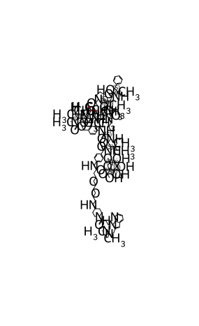 CC[C@H](C)[C@@H]([C@@H](CC(=O)N1CCC[C@H]1[C@H](OC)[C@@H](C)C(=O)N[C@H](C)[C@@H](O)c1ccccc1)OC)N(C)C(=O)[C@@H](NC(=O)[C@H](C(C)C)N(C)C(=O)OCc1ccc(NC(=O)[C@H](CCCNC(N)=O)NC(=O)[C@@H](NC(=O)c2ccc(NC(=O)CCOCCOCCNC3CCN(C(=O)CCn4c(CN(C)NC)cc5cccnc54)CC3)cc2O[C@@H]2O[C@H](C(=O)O)[C@@H](O)[C@H](O)[C@H]2O)C(C)C)cc1)C(C)C